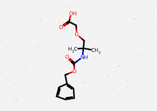 CC(C)(COCC(=O)O)NC(=O)OCc1ccccc1